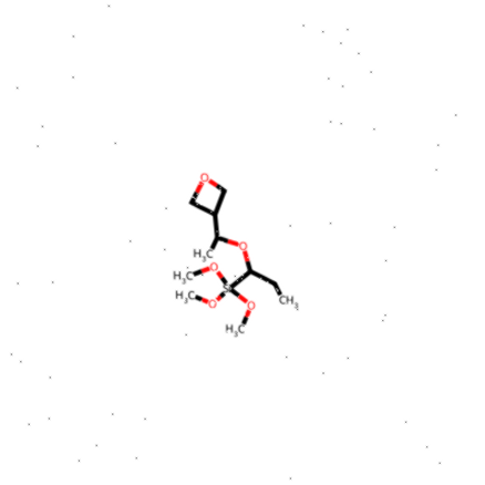 CCC(OC(C)C1COC1)[Si](OC)(OC)OC